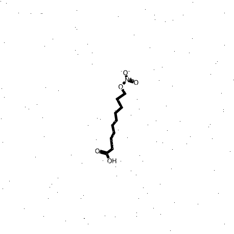 O=C(O)CCCCCCCCCO[N+](=O)[O-]